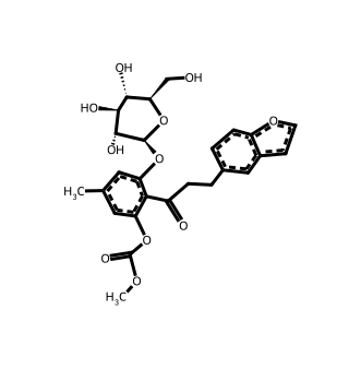 COC(=O)Oc1cc(C)cc(O[C@@H]2O[C@H](CO)[C@@H](O)[C@H](O)[C@H]2O)c1C(=O)CCc1ccc2occc2c1